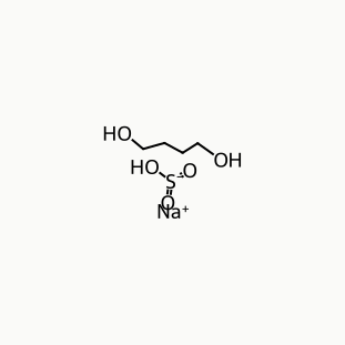 O=[S-](=O)O.OCCCCO.[Na+]